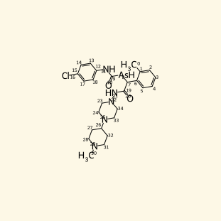 Cc1ccccc1C([AsH]C(=O)Nc1ccc(Cl)cc1)C(=O)NN1CCN(C2CCN(C)CC2)CC1